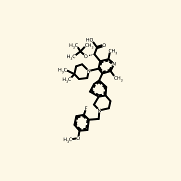 COc1ccc(F)c(CN2CCc3cc(-c4c(C)nc(C)c([C@H](OC(C)(C)C)C(=O)O)c4N4CCC(C)(C)CC4)ccc3C2)c1